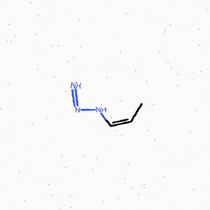 C/C=C\NN=N